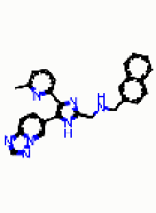 Cc1cccc(-c2nc(CNCc3ccc4ccccc4c3)[nH]c2-c2ccc3ncnn3c2)n1